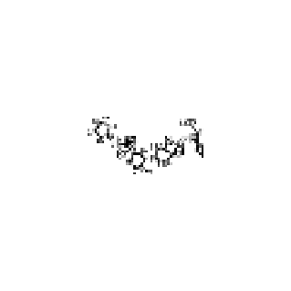 Cc1ccc(S(=O)(=O)NCc2ccccc2)cc1-c1ccc2oc([C@@H]3CCCN3C#N)nc2c1